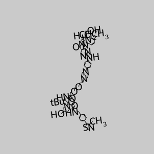 C=CCn1c(=O)c2cnc(Nc3ccc(N4CCN(CCOCOCC(=O)NC(C(=O)N5CC(O)CC5C(=O)NCc5ccc(-c6scnc6C)cc5)C(C)(C)C)CC4)cc3)nc2n1-c1cccc(C(C)(C)O)n1